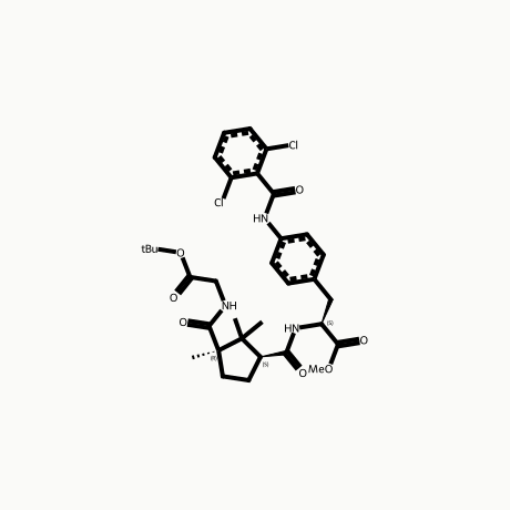 COC(=O)[C@H](Cc1ccc(NC(=O)c2c(Cl)cccc2Cl)cc1)NC(=O)[C@H]1CC[C@@](C)(C(=O)NCC(=O)OC(C)(C)C)C1(C)C